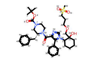 CC(C)(C)OC(=O)N1CCN(C(=O)c2ncn(C3CCCCC3(O)COCCCS(C)(=O)=O)c2-c2ccccc2)[C@H](Cc2ccccc2)C1